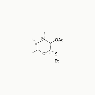 CCS[C@@H]1OC(C)[C@H](C)[C@H](C)C1OC(C)=O